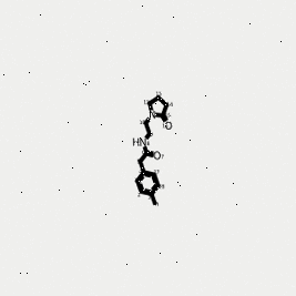 Cc1ccc(CC(=O)NCCN2CCCC2=O)cc1